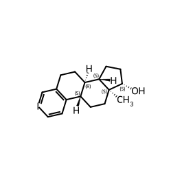 C[C@]12CC[C@@H]3C4=C(C=IC=C4)CC[C@H]3[C@@H]1CC[C@@H]2O